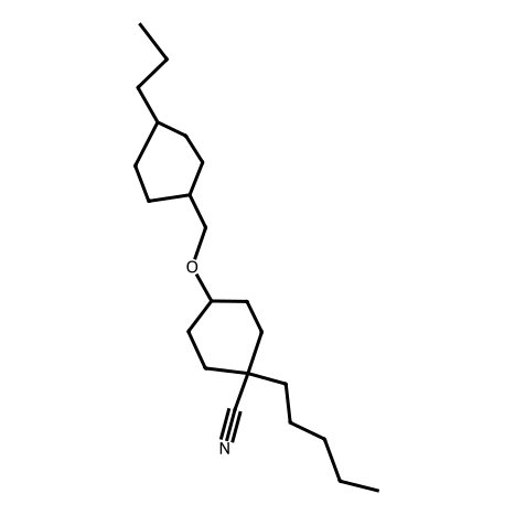 CCCCCC1(C#N)CCC(OCC2CCC(CCC)CC2)CC1